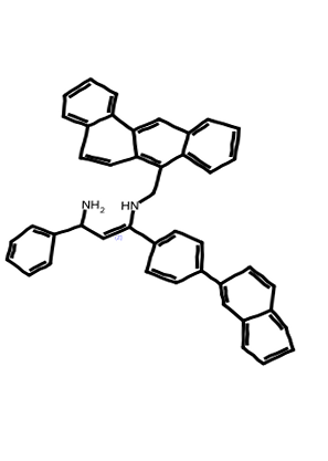 NC(/C=C(\NCc1c2ccccc2cc2c1ccc1ccccc12)c1ccc(-c2ccc3ccccc3c2)cc1)c1ccccc1